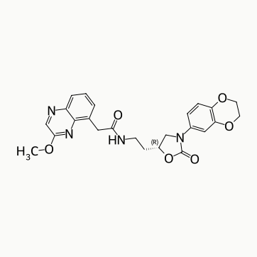 COc1cnc2cccc(CC(=O)NCC[C@@H]3CN(c4ccc5c(c4)OCCO5)C(=O)O3)c2n1